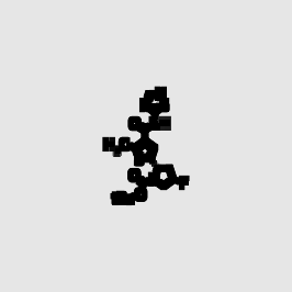 Cc1sc([C@@H]2C[C@@H](F)CN2C(=O)OC(C)(C)C)cc1C(=O)Nc1ncns1